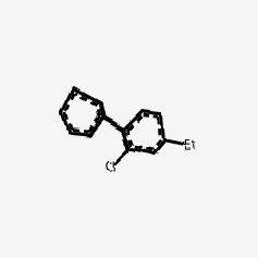 CCc1[c]c(Cl)c(-c2ccccc2)cc1